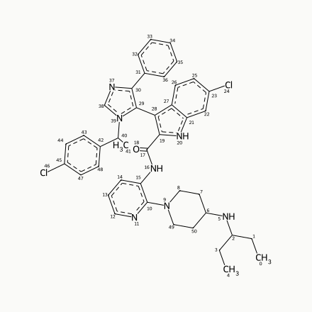 CCC(CC)NC1CCN(c2ncccc2NC(=O)c2[nH]c3cc(Cl)ccc3c2-c2c(-c3ccccc3)ncn2C(C)c2ccc(Cl)cc2)CC1